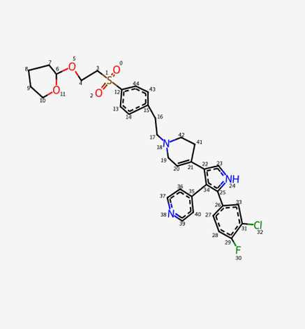 O=S(=O)(CCOC1CCCCO1)c1ccc(CCN2CC=C(c3c[nH]c(-c4ccc(F)c(Cl)c4)c3-c3ccncc3)CC2)cc1